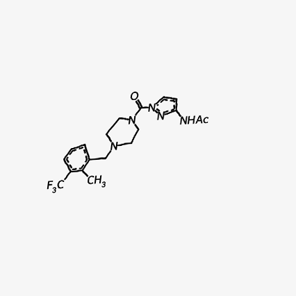 CC(=O)Nc1ccn(C(=O)N2CCN(Cc3cccc(C(F)(F)F)c3C)CC2)n1